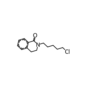 O=C1c2ccccc2CCN1CCCCCCl